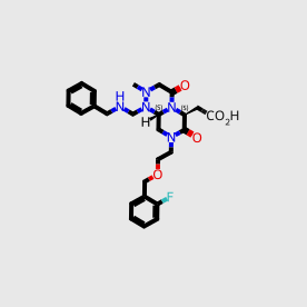 CN1CC(=O)N2[C@@H](CC(=O)O)C(=O)N(CCOCc3ccccc3F)C[C@@H]2N1CNCc1ccccc1